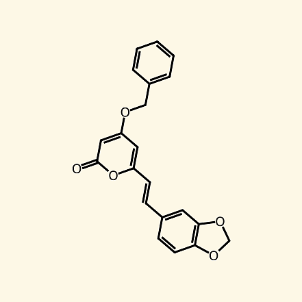 O=c1cc(OCc2ccccc2)cc(C=Cc2ccc3c(c2)OCO3)o1